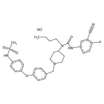 CCCCN(C(=O)Nc1ccc(F)c(C#N)c1)C1CCN(Cc2ccc(Oc3ccc(NS(C)(=O)=O)cc3)cc2)CC1.Cl